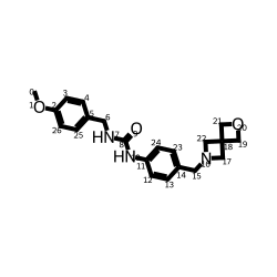 COc1ccc(CNC(=O)Nc2ccc(CN3CC4(COC4)C3)cc2)cc1